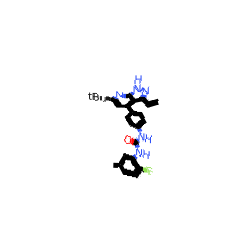 C=Cc1n[nH]c2nc(C(C)(C)C)cc(-c3ccc(NC(=O)Nc4cc(C)ccc4F)cc3)c12